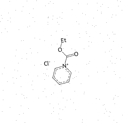 CCOC(=O)[n+]1ccccc1.[Cl-]